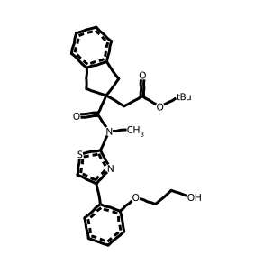 CN(C(=O)C1(CC(=O)OC(C)(C)C)Cc2ccccc2C1)c1nc(-c2ccccc2OCCO)cs1